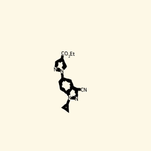 CCOC(=O)c1cnn(-c2ccc3c(c2)c(C#N)nn3C2CC2)c1